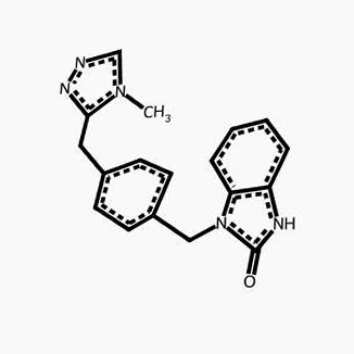 Cn1cnnc1Cc1ccc(Cn2c(=O)[nH]c3ccccc32)cc1